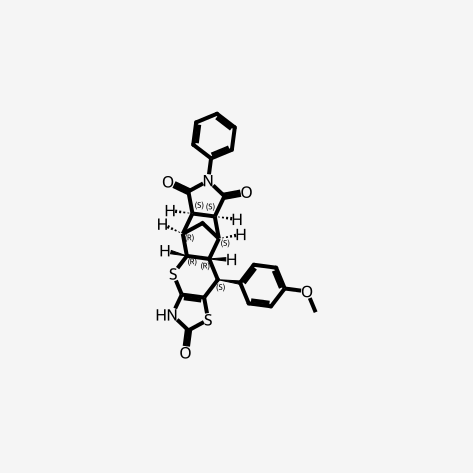 COc1ccc([C@H]2c3sc(=O)[nH]c3S[C@@H]3[C@@H]4C[C@@H]([C@@H]5C(=O)N(c6ccccc6)C(=O)[C@H]45)[C@H]23)cc1